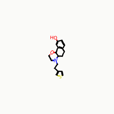 Oc1ccc2c(c1)C1OCCN(CCc3ccsc3)C1CC2